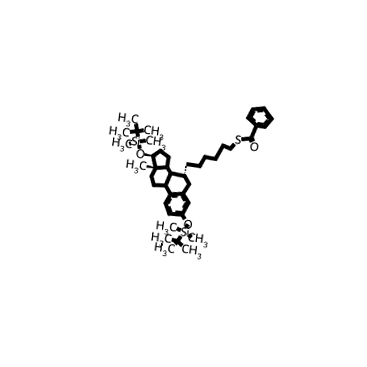 CC(C)(C)[Si](C)(C)Oc1ccc2c(c1)C[C@@H](CCCCCCSC(=O)c1ccccc1)C1C2CC[C@@]2(C)C1CC[C@@H]2O[Si](C)(C)C(C)(C)C